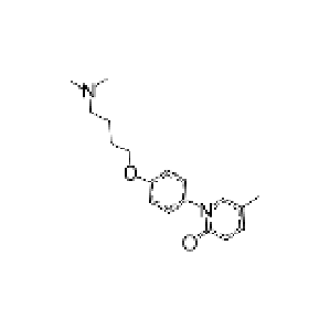 Cc1ccc(=O)n(-c2ccc(OCCCCN(C)C)cc2)c1